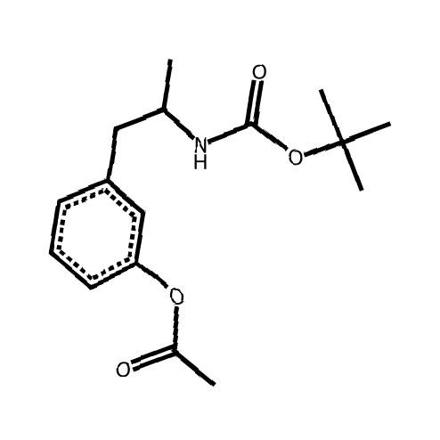 CC(=O)Oc1cccc(CC(C)NC(=O)OC(C)(C)C)c1